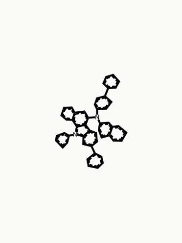 c1ccc(-c2ccc(N(c3ccc4ccccc4c3)c3cc4ccccc4c4c3c3ccc(-c5ccccc5)cc3n4-c3ccccc3)cc2)cc1